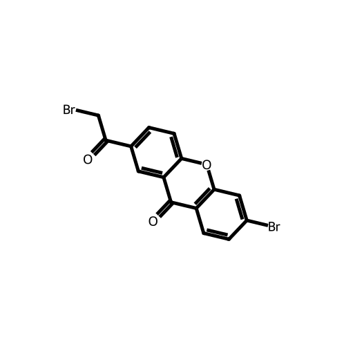 O=C(CBr)c1ccc2oc3cc(Br)ccc3c(=O)c2c1